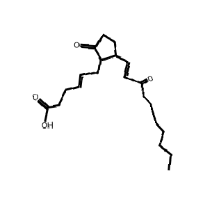 CCCCCCCC(=O)C=CC1CCC(=O)C1CC=CCCC(=O)O